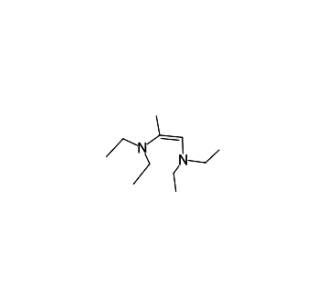 CCN(C=C(C)N(CC)CC)CC